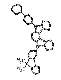 CC1(C)c2ccccc2-c2cc(-n3c4ccccc4c4c5c6ccccc6n(-c6ccc(-c7ccccc7)cc6)c5ccc43)ccc21